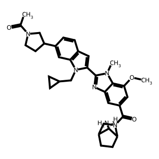 COc1cc(C(=O)N2CC3CCC2[C@@H]3N)cc2nc(-c3cc4ccc(C5CCN(C(C)=O)C5)cc4n3CC3CC3)n(C)c12